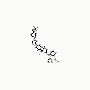 CCc1ccccc1N1CCCS/C1=N\C(=O)NC(C)(C)c1ccc(-c2ncn(-c3ccc(OC(F)(F)F)cc3)n2)cc1